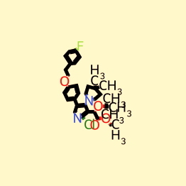 CCOC(=O)C(OC(C)(C)C)c1c(Cl)ncc(-c2ccc(OCCc3ccc(F)cc3)cc2)c1N1CCC(C)(C)CC1